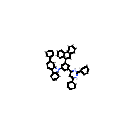 c1ccc(-c2ccc3c4ccccc4n(-c4cc(-c5cc(-c6ccccc6)nc(-c6ccccc6)n5)cc(-c5cc6ccccc6c6ccccc56)c4)c3c2)cc1